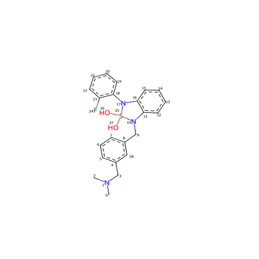 CN(C)Cc1cccc(CN2c3ccccc3N(c3ccccc3F)S2(O)O)c1